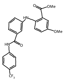 COC(=O)c1cc(OC)ccc1Nc1cccc(C(=O)Nc2ccc(C(F)(F)F)cc2)c1